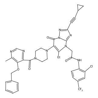 CCc1c(N2CCN(C(=O)c3ncnc(C)c3OCc3ccccc3)CC2)c(=O)n2nc(C#CC3CC3)nc2n1CC(=O)Nc1ccc(C(F)(F)F)cc1Cl